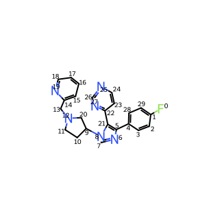 Fc1ccc(-c2ncn(C3CCN(Cc4ccccn4)C3)c2-c2ccncn2)cc1